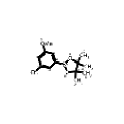 C[CH]c1cc(OC)cc(B2OC(C)(C)C(C)(C)O2)c1